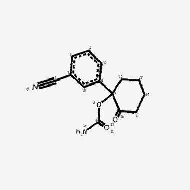 N#Cc1cccc(C2(OC(N)=O)CCCCC2=O)c1